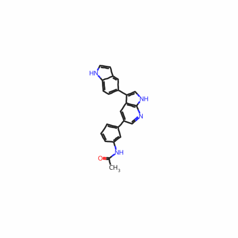 CC(=O)Nc1cccc(-c2cnc3[nH]cc(-c4ccc5[nH]ccc5c4)c3c2)c1